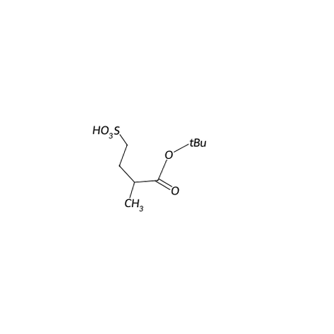 CC(CCS(=O)(=O)O)C(=O)OC(C)(C)C